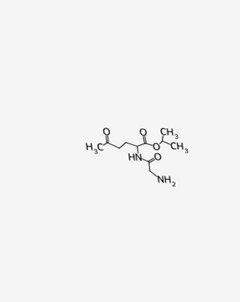 CC(=O)CCC(NC(=O)CN)C(=O)OC(C)C